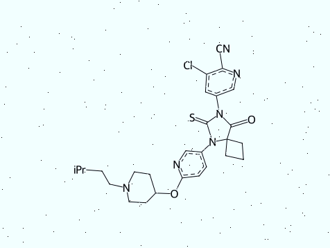 CC(C)CCN1CCC(Oc2ccc(N3C(=S)N(c4cnc(C#N)c(Cl)c4)C(=O)C34CCC4)cn2)CC1